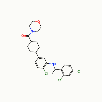 CC(Nc1cc(C2CCC(C(=O)N3CCOCC3)CC2)ccc1Cl)c1ccc(Cl)cc1Cl